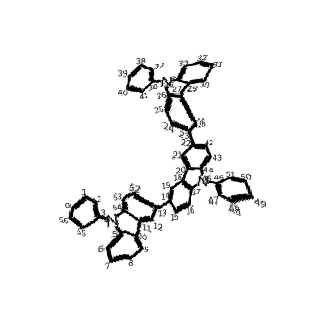 c1ccc(-n2c3ccccc3c3cc(-c4ccc5c(c4)c4cc(-c6ccc7c(c6)c6ccccc6n7-c6ccccc6)ccc4n5-c4ccccc4)ccc32)cc1